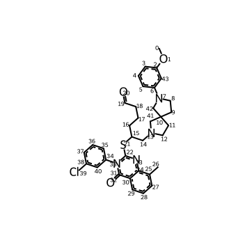 COc1cccc(N2CCC3(CCN(CC(CCCC=O)Sc4nc5c(C)cccc5c(=O)n4-c4cccc(Cl)c4)C3)C2)c1